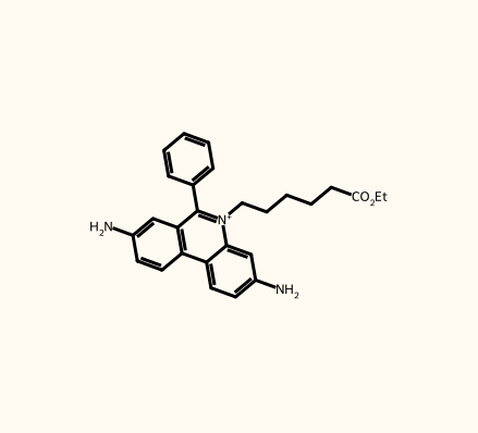 CCOC(=O)CCCCC[n+]1c(-c2ccccc2)c2cc(N)ccc2c2ccc(N)cc21